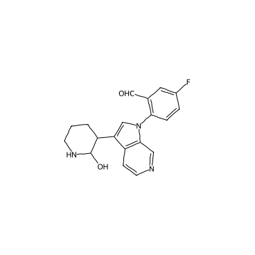 O=Cc1cc(F)ccc1-n1cc(C2CCCNC2O)c2ccncc21